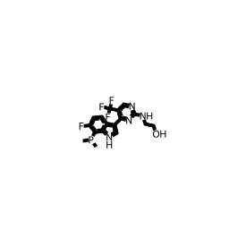 CP(C)c1c(F)ccc2c(-c3nc(NCCO)ncc3C(F)(F)F)c[nH]c12